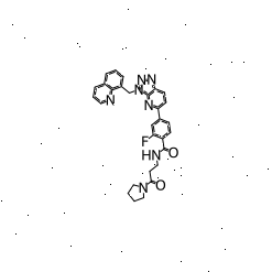 O=C(NCCC(=O)N1CCCC1)c1ccc(-c2ccc3nnn(Cc4cccc5cccnc45)c3n2)cc1F